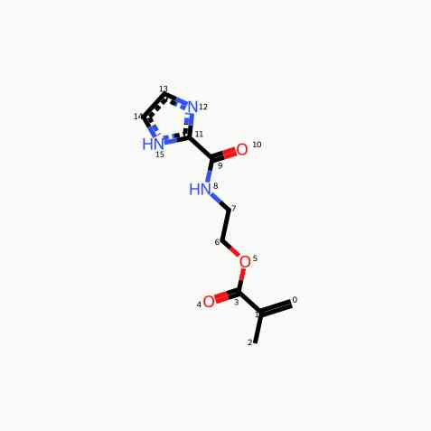 C=C(C)C(=O)OCCNC(=O)c1ncc[nH]1